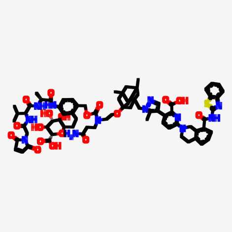 Cc1c(-c2ccc(N3CCc4cccc(C(=O)Nc5nc6ccccc6s5)c4C3)nc2C(=O)O)cnn1CC12CC3(C)CC(C)(C1)CC(OCCN(CCC(N)=O)C(=O)OCc1ccc(NC(=O)[C@H](C)NC(=O)[C@@H](NC(=O)CN4C(=O)C=CC4=O)C(C)C)cc1CCC1O[C@H](C(=O)O)[C@@H](O)[C@H](O)[C@H]1O)(C3)C2